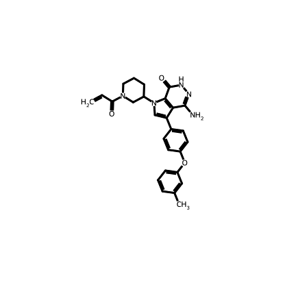 C=CC(=O)N1CCCC(n2cc(-c3ccc(Oc4cccc(C)c4)cc3)c3c(N)n[nH]c(=O)c32)C1